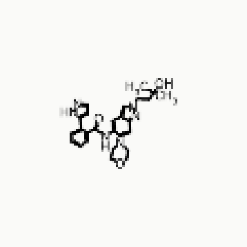 CC(C)(O)CCn1cc2cc(NC(=O)c3ccccc3-c3ccn[nH]3)c(N3CCOCC3)cc2n1